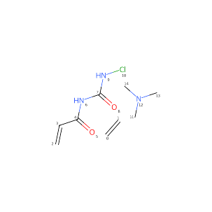 C=C.C=CC(=O)NC(=O)NCl.CN(C)C